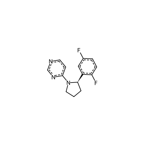 Fc1ccc(F)c([C@H]2CCCN2c2ccncn2)c1